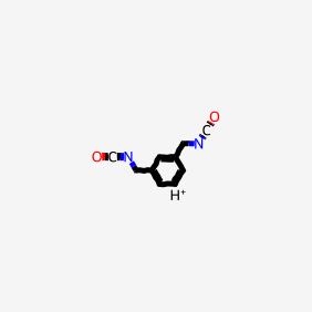 O=C=NCc1cccc(CN=C=O)c1.[H+]